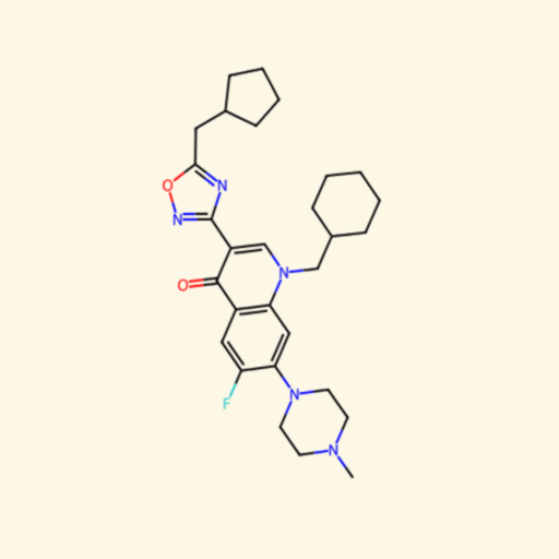 CN1CCN(c2cc3c(cc2F)c(=O)c(-c2noc(CC4CCCC4)n2)cn3CC2CCCCC2)CC1